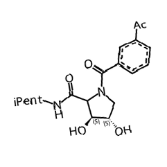 CCCC(C)NC(=O)C1[C@H](O)[C@@H](O)CN1C(=O)c1cccc(C(C)=O)c1